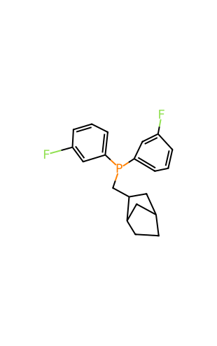 Fc1cccc(P(CC2CC3CCC2C3)c2cccc(F)c2)c1